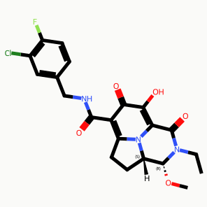 CCN1C(=O)c2c(O)c(=O)c(C(=O)NCc3ccc(F)c(Cl)c3)c3n2[C@@H](CC3)[C@H]1OC